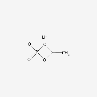 CC1OP(=O)([O-])O1.[Li+]